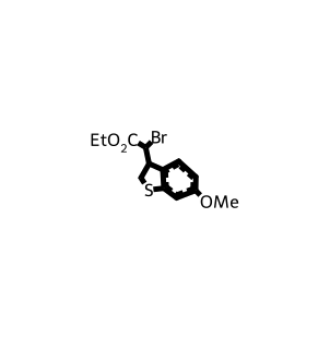 CCOC(=O)C(Br)C1CSc2cc(OC)ccc21